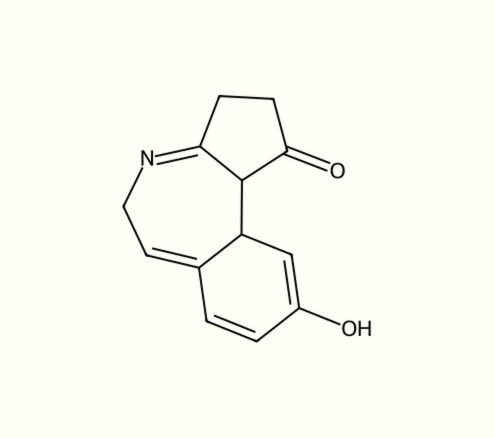 O=C1CCC2=NCC=C3C=CC(O)=CC3C12